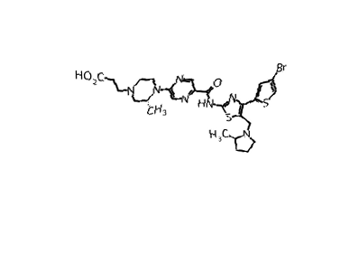 C[C@@H]1CCCN1Cc1sc(NC(=O)c2cnc(N3CCN(CCC(=O)O)C[C@H]3C)cn2)nc1-c1cc(Br)cs1